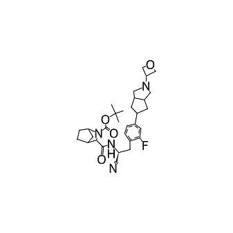 CC(C)(C)OC(=O)N1C2CCC(C2)C1C(=O)N[C@H](C#N)Cc1ccc(C2CC3CN(C4COC4)CC3C2)cc1F